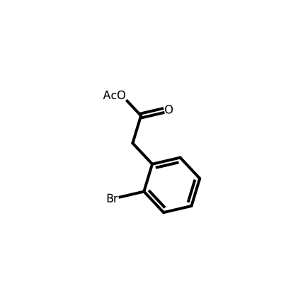 CC(=O)OC(=O)Cc1ccccc1Br